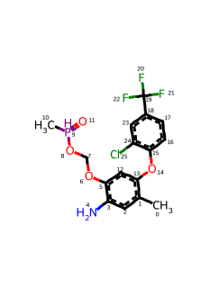 Cc1cc(N)c(OCO[PH](C)=O)cc1Oc1ccc(C(F)(F)F)cc1Cl